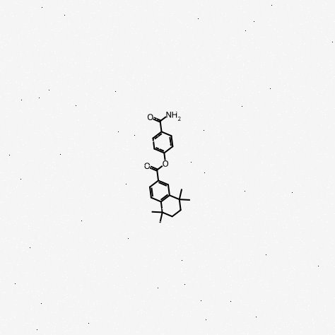 CC1(C)CCC(C)(C)c2cc(C(=O)Oc3ccc(C(N)=O)cc3)ccc21